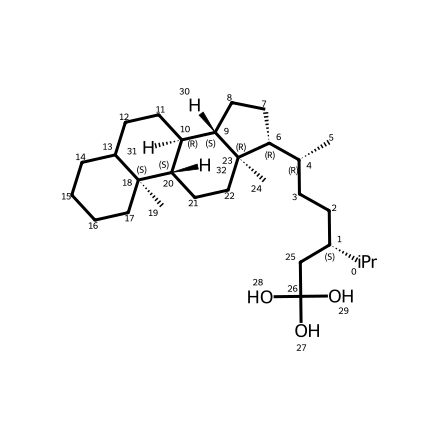 CC(C)[C@@H](CC[C@@H](C)[C@H]1CC[C@H]2[C@@H]3CCC4CCCC[C@]4(C)[C@H]3CC[C@]12C)CC(O)(O)O